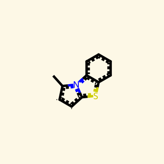 Cc1[c][c]c2sc3ccccc3n12